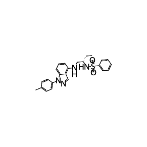 CC[C@@H](CNc1cccc2c1cnn2-c1ccc(C)cc1)NS(=O)(=O)c1ccccc1